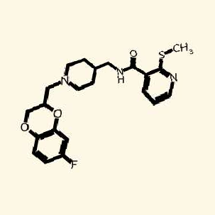 CSc1ncccc1C(=O)NCC1CCN(CC2COc3ccc(F)cc3O2)CC1